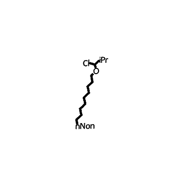 CCCCCCCCCCCCCCCCCCOC(Cl)C(C)C